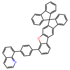 c1ccc2c(c1)-c1ccccc1C21c2ccccc2-c2cc3c(cc21)oc1c(-c2ccc(-c4cccc5cccnc45)cc2)cccc13